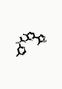 C=C(Nc1cc(C)ccn1)Sc1nc(-c2cn[nH]c2C)ccc1C